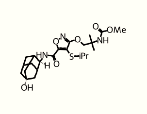 COC(=O)NC(C)(C)COc1noc(C(=O)N[C@H]2C3CC4CC2C[C@](O)(C4)C3)c1SC(C)C